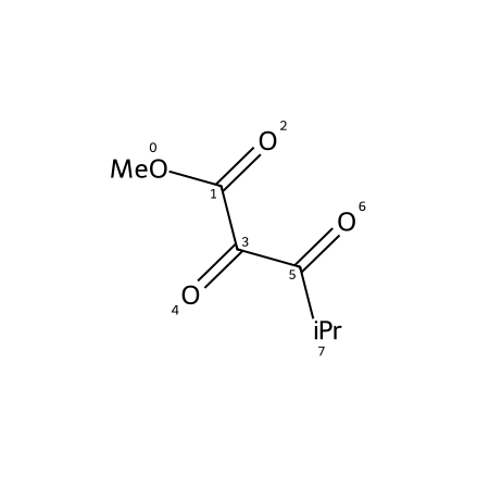 COC(=O)C(=O)C(=O)C(C)C